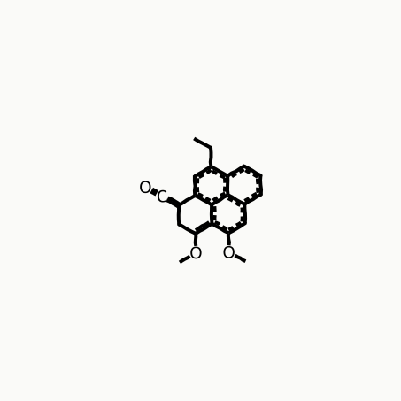 CCc1cc2c3c(c(OC)cc4cccc1c43)=C(OC)CC2=C=O